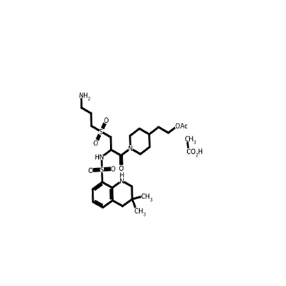 CC(=O)O.CC(=O)OCCC1CCN(C(=O)C(CS(=O)(=O)CCCN)NS(=O)(=O)c2cccc3c2NCC(C)(C)C3)CC1